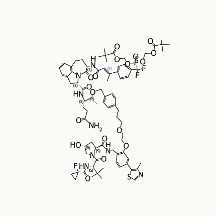 C/C(=C\C(=O)N[C@H]1CCc2cccc3c2N(C1=O)[C@H](C(=O)N[C@@H](CCC(N)=O)[C@@H](C)OCc1ccc(CCCOCCOc2cc(-c4scnc4C)ccc2CNC(=O)[C@@H]2C[C@@H](O)CN2C(=O)[C@@H](NC(=O)C2(F)CC2)C(C)(C)C)cc1)C3)c1ccc(C(F)(F)P(=O)(OCOC(=O)C(C)(C)C)OCOC(=O)C(C)(C)C)cc1